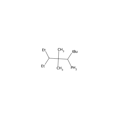 CC[C](CC)C(C)(C)C(P)C(C)(C)C